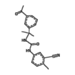 CC(=O)c1cccc(C(C)(C)NC(=O)Nc2ccc(C)c(C#N)c2)c1